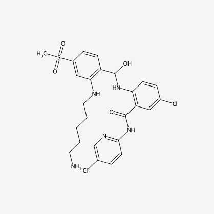 CS(=O)(=O)c1ccc(C(O)Nc2ccc(Cl)cc2C(=O)Nc2ccc(Cl)cn2)c(NCCCCCN)c1